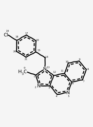 Cc1nc2cnc3ccccc3c2n1Cc1ccc(Cl)cc1